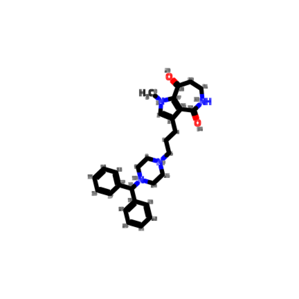 Cn1cc(CCCN2CCN(C(c3ccccc3)c3ccccc3)CC2)c2c1C(=O)CCNC2=O